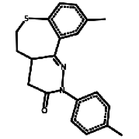 Cc1ccc(N2N=C3c4cc(C)ccc4SCCC3CC2=O)cc1